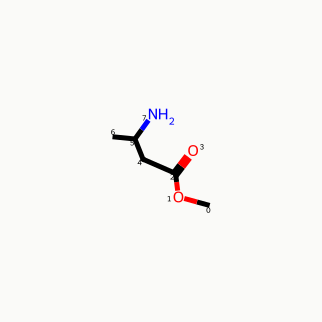 COC(=O)CC(C)N